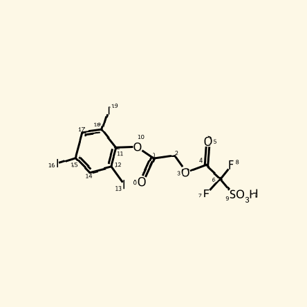 O=C(COC(=O)C(F)(F)S(=O)(=O)O)Oc1c(I)cc(I)cc1I